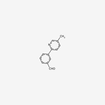 Cc1ccc(-c2cccc(C=O)c2)nc1